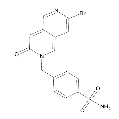 NS(=O)(=O)c1ccc(Cn2cc3cc(Br)ncc3cc2=O)cc1